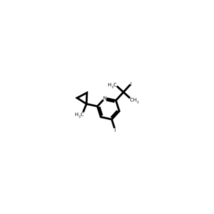 CC(C)(I)c1cc(I)cc(C2(C)CC2)n1